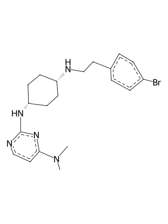 CN(C)c1ccnc(N[C@H]2CC[C@@H](NCCc3ccc(Br)cc3)CC2)n1